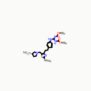 CC(=O)Nc1nc(CCc2ccc(N/C(=N/C(=O)OC(C)(C)C)NC(=O)OC(C)(C)C)cc2)c(CN2CC[C@H](C(=O)O)C2)s1